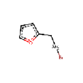 [Br][Mg][CH2]c1ccco1